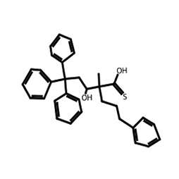 CC(CCCc1ccccc1)(C(O)=S)C(O)CC(c1ccccc1)(c1ccccc1)c1ccccc1